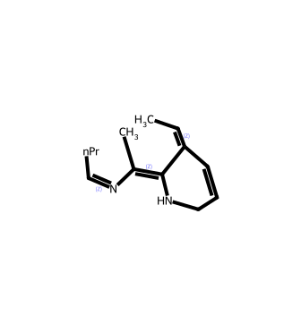 C/C=C1/C=CCN/C1=C(C)\N=C/CCC